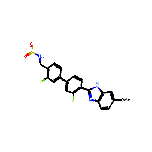 COc1ccc2nc(-c3ccc(-c4ccc(CN[SH](=O)=O)c(F)c4)cc3F)[nH]c2c1